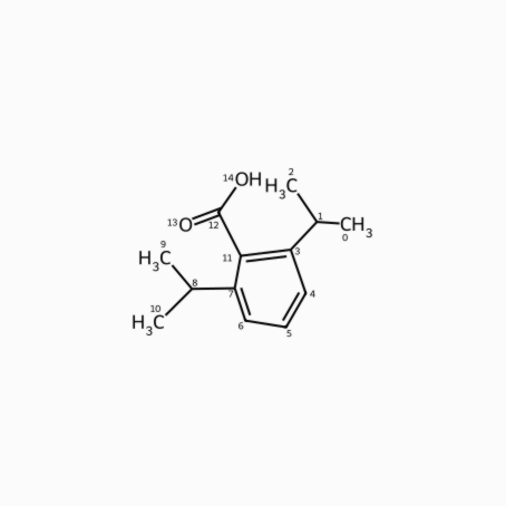 CC(C)c1cccc(C(C)C)c1C(=O)O